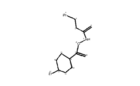 C=C(CCC(C)C)NOC(=C)C1CCC(CC)CC1